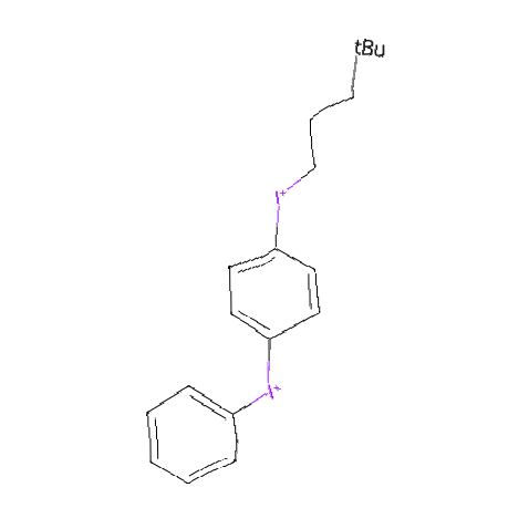 CC(C)(C)CCC[I+]c1ccc([I+]c2ccccc2)cc1